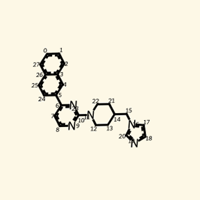 c1ccc2cc(-c3ccnc(N4CCC(Cn5ccnc5)CC4)n3)ccc2c1